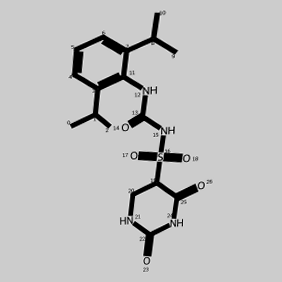 CC(C)c1cccc(C(C)C)c1NC(=O)NS(=O)(=O)C1CNC(=O)NC1=O